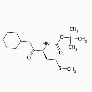 CSCC[C@H](NC(=O)OC(C)(C)C)C(=O)CC1CCCCC1